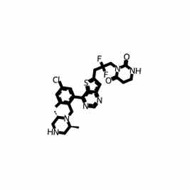 Cc1cc(Cl)cc(-c2ncnc3cc(CC(F)(F)CN4C(=O)CCNC4=O)sc23)c1CN1[C@@H](C)CNC[C@@H]1C